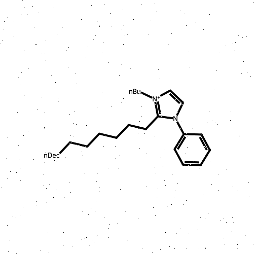 CCCCCCCCCCCCCCCCc1n(-c2ccccc2)cc[n+]1CCCC